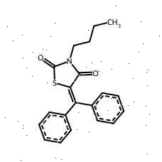 CCCCN1C(=O)SC(=C(c2ccccc2)c2ccccc2)C1=O